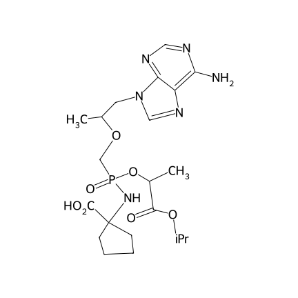 CC(C)OC(=O)C(C)OP(=O)(COC(C)Cn1cnc2c(N)ncnc21)NC1(C(=O)O)CCCC1